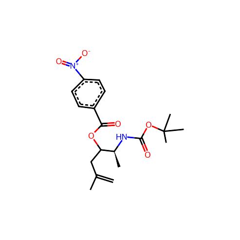 C=C(C)CC(OC(=O)c1ccc([N+](=O)[O-])cc1)[C@H](C)NC(=O)OC(C)(C)C